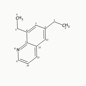 CCc1cc(CC)c2ncccc2c1